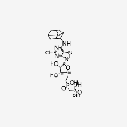 O=P(O)(O)CP(=O)(O)CC[C@H]1O[C@@H](n2cnc3c(NC4C5CC6CC(C5)CC4C6)nc(Cl)nc32)C(O)[C@H]1O